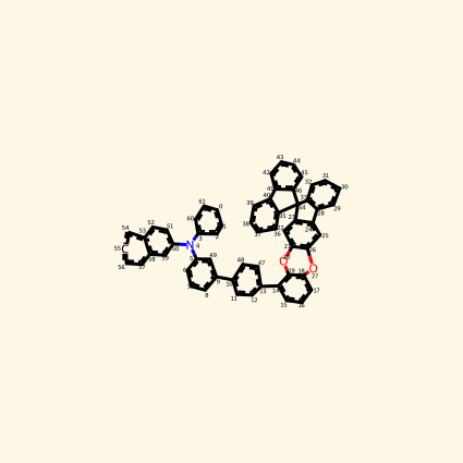 c1ccc(N(c2cccc(-c3ccc(-c4cccc5c4Oc4cc6c(cc4O5)-c4ccccc4C64c5ccccc5-c5ccccc54)cc3)c2)c2ccc3ccccc3c2)cc1